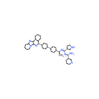 C=C(/N=C(\N=C(/N)c1cccnc1)c1cc[nH]c1)c1ccc(-c2ccc(-c3nc4c(nc5ccccn54)c4ccccc34)cc2)cc1